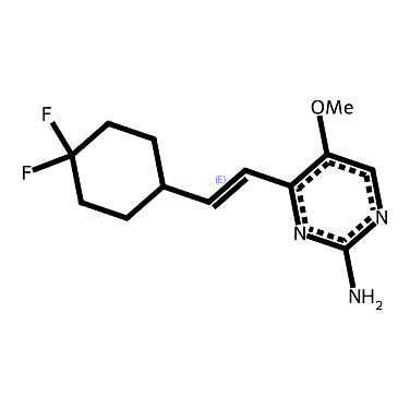 COc1cnc(N)nc1/C=C/C1CCC(F)(F)CC1